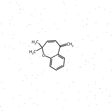 C=C1C=CC(C)(C)Oc2ccccc21